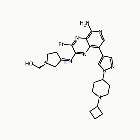 CCc1nc2c(N)ncc(-c3cnn(C4CCN(C5CCC5)CC4)c3)c2nc1/N=C1\CC[C@H](CO)C1